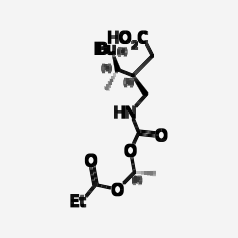 CCC(=O)O[C@@H](C)OC(=O)NC[C@H](CC(=O)O)[C@H](C)[C@H](C)CC